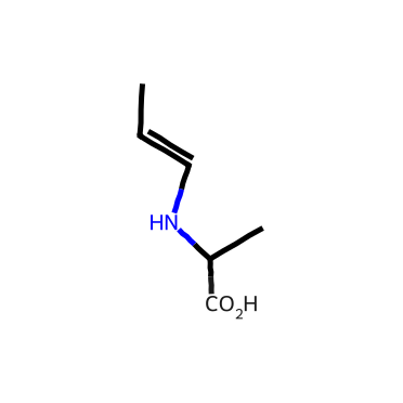 CC=CNC(C)C(=O)O